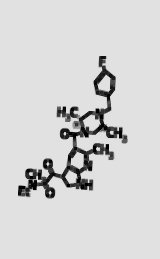 CCN(C)C(=O)C(=O)C1CNc2nc(C)c(C(=O)N3C[C@H](C)N(Cc4ccc(F)cc4)C[C@H]3C)cc21